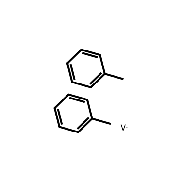 Cc1ccccc1.Cc1ccccc1.[V]